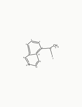 CC(I)c1cccc2cnccc12